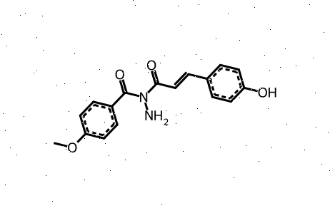 COc1ccc(C(=O)N(N)C(=O)/C=C/c2ccc(O)cc2)cc1